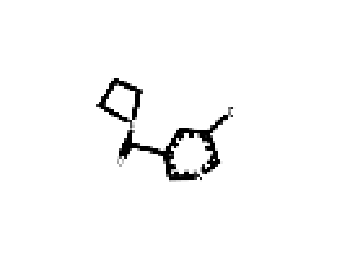 O=C(c1cn[c]c(Cl)c1)N1CCC1